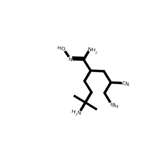 CC(C)(C)CC(C#N)CC(CCC(C)(C)N)/C(N)=N/O